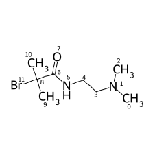 CN(C)CCNC(=O)C(C)(C)Br